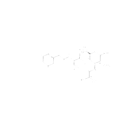 C=C1OC(O)[C@H](C)C(CCC(CC)C(C)C)[C@@H]1CC(OC)C(C)OCCC1=CCCCC1